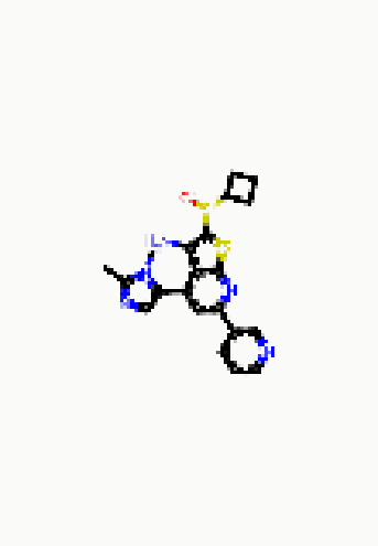 Cc1ncc(-c2cc(-c3cccnc3)nc3sc([S+]([O-])C4CCC4)c(N)c23)n1C